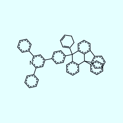 C1=CCCC(C2(c3ccc(-c4cc(-c5ccccc5)nc(-c5ccccc5)c4)cc3)c3ccccc3C3(c4ccccc4)c4ccccc4-c4cccc2c43)=C1